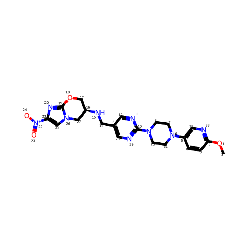 COc1ccc(N2CCN(c3ncc(CN[C@@H]4COc5nc([N+](=O)[O-])cn5C4)cn3)CC2)cn1